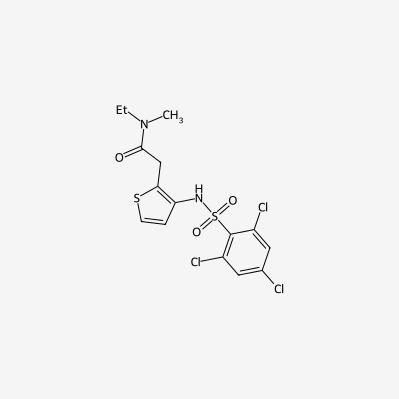 CCN(C)C(=O)Cc1sccc1NS(=O)(=O)c1c(Cl)cc(Cl)cc1Cl